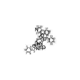 O=C(Cc1ccccc1)NC1C(=O)N2CC(C=Cc3cccnc3)(C(=O)OC(c3ccccc3)c3ccccc3)CS[C@H]12